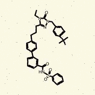 CCn1c(CCCc2ccc(-c3cccc(C(=O)NS(=O)(=O)c4ccccc4)c3)cc2)nn(Cc2ccc(C(C)(C)C)cc2)c1=O